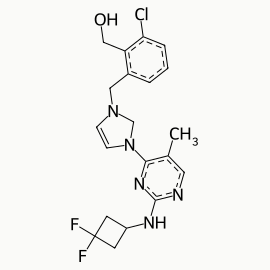 Cc1cnc(NC2CC(F)(F)C2)nc1N1C=CN(Cc2cccc(Cl)c2CO)C1